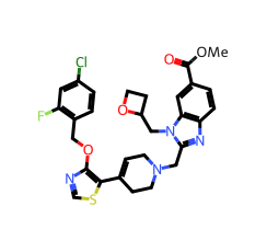 COC(=O)c1ccc2nc(CN3CC=C(c4scnc4OCc4ccc(Cl)cc4F)CC3)n(CC3CCO3)c2c1